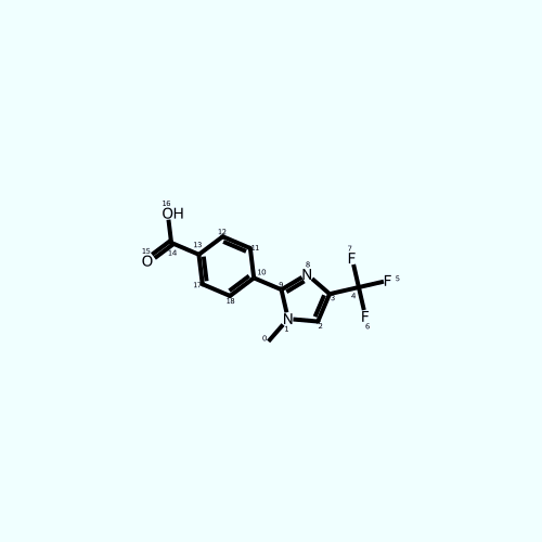 Cn1cc(C(F)(F)F)nc1-c1ccc(C(=O)O)cc1